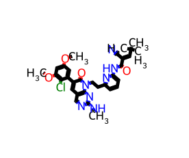 CNc1ncc2cc(-c3cc(OC)cc(OC)c3Cl)c(=O)n(CCc3cccc(NC(=O)/C(C#N)=C/C(C)(C)C)n3)c2n1